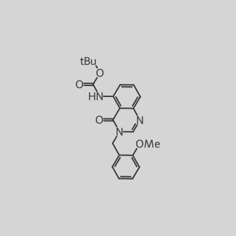 COc1ccccc1Cn1cnc2cccc(NC(=O)OC(C)(C)C)c2c1=O